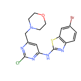 Clc1nc(CN2CCOCC2)cc(Nc2nc3ccc(Br)cc3s2)n1